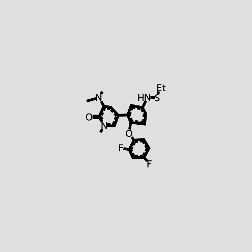 CCSNc1ccc(Oc2ccc(F)cc2F)c(-c2cc(N(C)C)c(=O)n(C)c2)c1